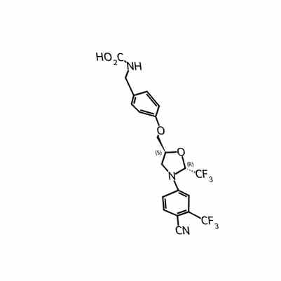 N#Cc1ccc(N2C[C@@H](COc3ccc(CNC(=O)O)cc3)O[C@@H]2C(F)(F)F)cc1C(F)(F)F